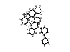 c1ccc(-c2cccc(-c3c4ccccc4c(-c4cccc5[nH]c6cc7c(cc6c45)CCCC7)c4ccccc34)c2)cc1